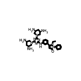 CCn1c(-c2cccc(Nc3nc(N4C[C@H](N)C[C@H](N)C4)nc(N4C[C@H](N)C[C@H](N)C4)n3)c2)cc(=O)n1-c1ccccc1